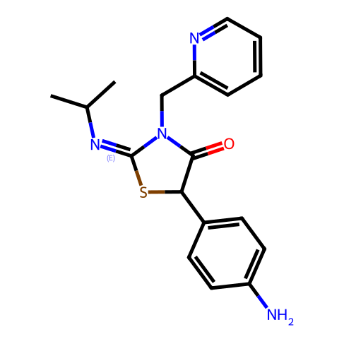 CC(C)/N=C1/SC(c2ccc(N)cc2)C(=O)N1Cc1ccccn1